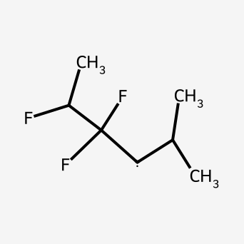 CC(C)[CH]C(F)(F)C(C)F